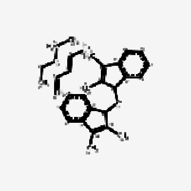 C=CC=CC.CC1=C(C)[CH]([Zr][CH]2C(C)=C(C)c3ccccc32)c2ccccc21.CCO[SiH2]C